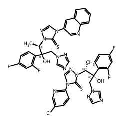 C[C@@H](n1ncn(-c2ccc(Cl)cn2)c1=S)[C@](O)(Cn1cncn1)c1ccc(F)cc1F.C[C@@H](n1ncn(-c2cnc3ccccc3c2)c1=S)[C@](O)(Cn1cncn1)c1ccc(F)cc1F